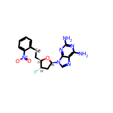 Nc1nc(N)c2ncn([C@H]3C[C@H](F)[C@@H](C[Se]c4ccccc4[N+](=O)[O-])O3)c2n1